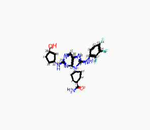 NC(=O)[C@H]1CC[C@H](n2c(Nc3ccc(F)c(F)c3F)nc3cnc(N[C@@H]4CC[C@@H](O)C4)nc32)CC1